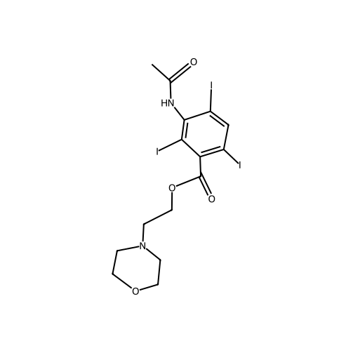 CC(=O)Nc1c(I)cc(I)c(C(=O)OCCN2CCOCC2)c1I